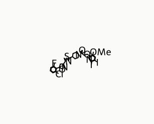 COc1cc(I)c(I)nc1OCC(=O)N1CCC(c2nc(C3=NOC(c4c(F)cccc4Cl)C3)cs2)CC1